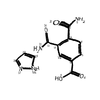 NC(=O)c1ccc(C(=O)O)cc1C(N)=O.c1cn[nH]c1